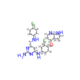 Nc1nc(CNc2ccc(F)cc2)cc(Nc2ccc(Oc3ccnc4[nH]ccc34)c(F)c2)n1